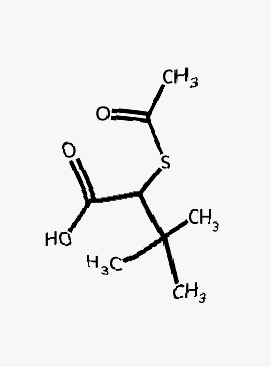 CC(=O)SC(C(=O)O)C(C)(C)C